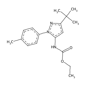 CCOC(=O)Nc1cc(C(C)(C)C)nn1-c1ccc(C)cc1